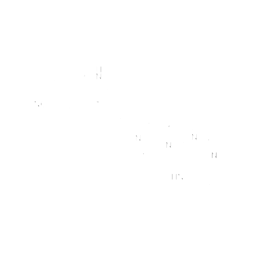 N#Cc1ccc2[nH]cc(CCCN3CCN(c4ncnc5cc[nH]c45)CC3)c2c1